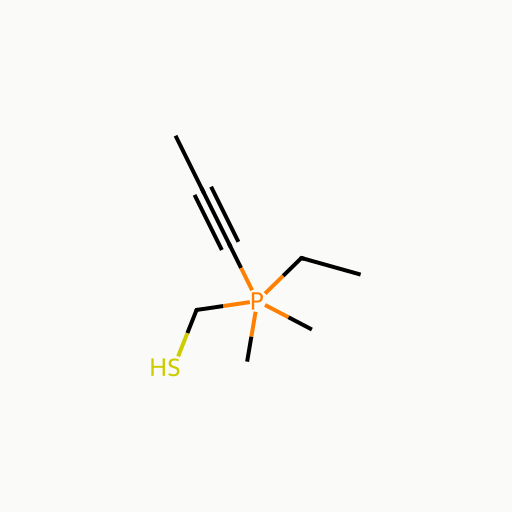 CC#CP(C)(C)(CC)CS